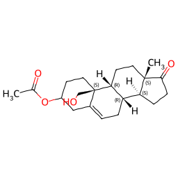 CC(=O)OC1CC[C@@]2(CO)C(=CC[C@@H]3[C@H]2CC[C@]2(C)C(=O)CC[C@@H]32)C1